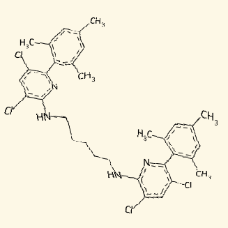 Cc1cc(C)c(-c2nc(NCCCCCNc3nc(-c4c(C)cc(C)cc4C)c(Cl)cc3Cl)c(Cl)cc2Cl)c(C)c1